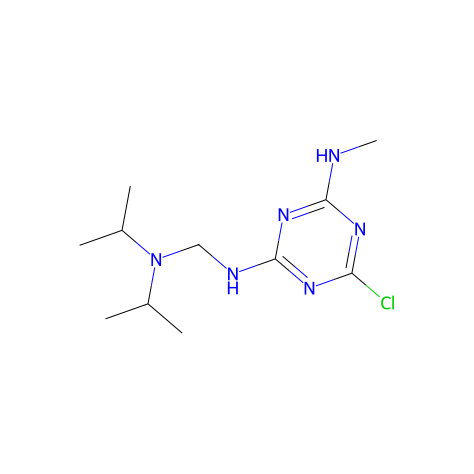 CNc1nc(Cl)nc(NCN(C(C)C)C(C)C)n1